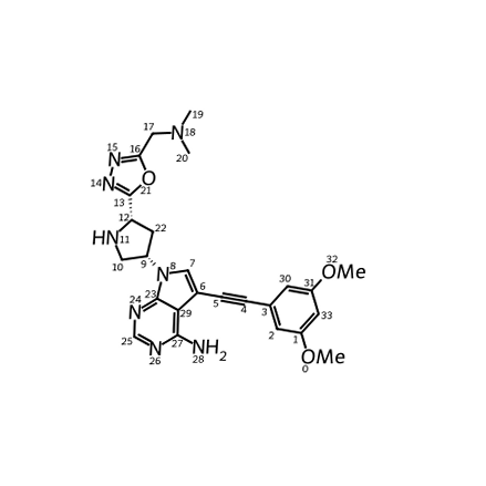 COc1cc(C#Cc2cn([C@@H]3CN[C@H](c4nnc(CN(C)C)o4)C3)c3ncnc(N)c23)cc(OC)c1